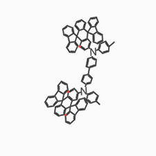 Cc1ccc(N(c2ccc(-c3ccc(N(c4ccc(C)cc4)c4ccc5c(c4)C4(c6ccccc6-c6ccccc64)c4ccccc4C54c5ccccc5-c5ccccc54)cc3)cc2)c2ccc3c(c2)C2(c4ccccc4-c4ccccc42)c2ccccc2C32c3ccccc3-c3ccccc32)cc1